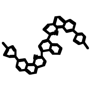 Cc1ccc(-c2ccc3ccc4ccc(-c5ccc(-c6ccc7ccc8ccc(-c9ccc(C)cc9)cc8c7n6)c6ccccc56)nc4c3c2)cc1